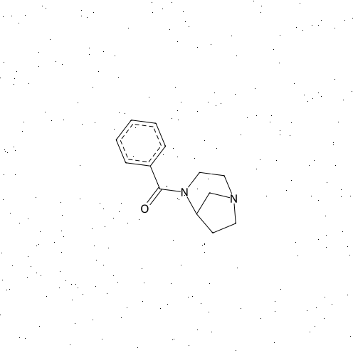 O=C(c1ccccc1)N1CCN2CCC1C2